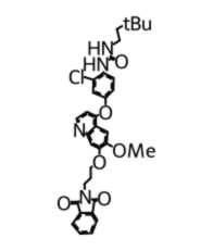 COc1cc2c(Oc3ccc(NC(=O)NCCC(C)(C)C)c(Cl)c3)ccnc2cc1OCCCN1C(=O)c2ccccc2C1=O